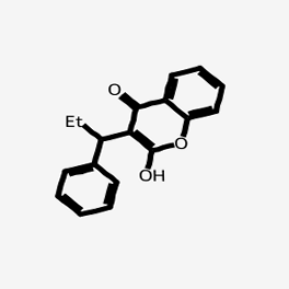 CCC(c1ccccc1)c1c(O)oc2ccccc2c1=O